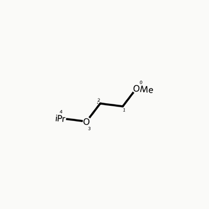 COC[CH]OC(C)C